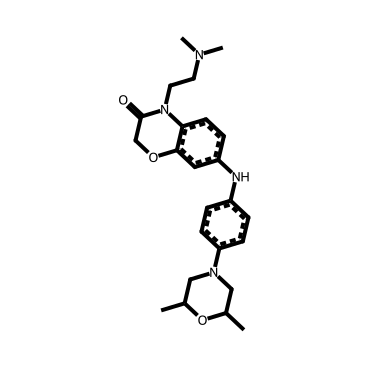 CC1CN(c2ccc(Nc3ccc4c(c3)OCC(=O)N4CCN(C)C)cc2)CC(C)O1